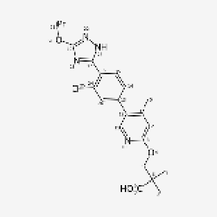 Cc1cc(OCC(C)(C)C(=O)O)ncc1-c1ccc(-c2nc(OC(C)C)n[nH]2)c(Cl)c1